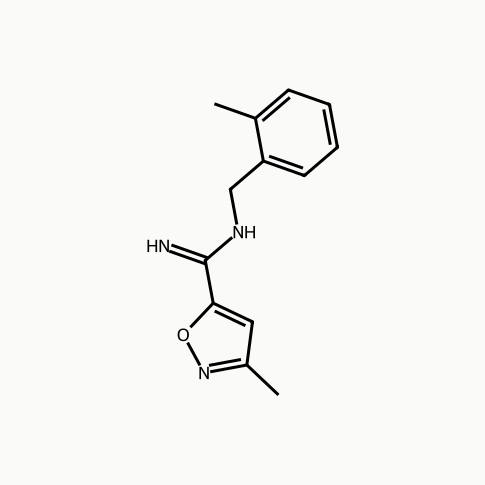 Cc1cc(C(=N)NCc2ccccc2C)on1